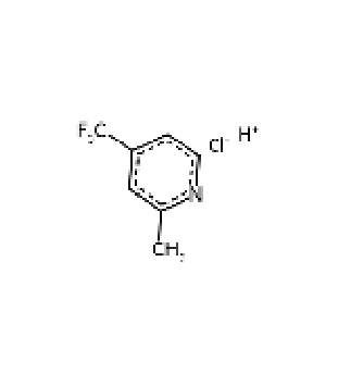 Cc1cc(C(F)(F)F)ccn1.[Cl-].[H+]